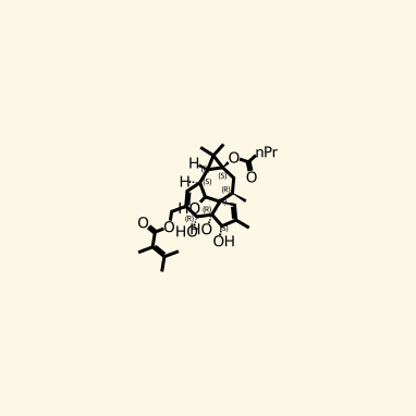 CCCC(=O)O[C@@]12C[C@@H](C)[C@]34C=C(C)[C@H](O)[C@@]3(O)[C@H](O)C(COC(=O)C(C)=C(C)C)=C[C@H](C4O)[C@@H]1C2(C)C